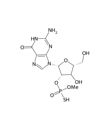 COP(=O)(S)O[C@H]1C(O)[C@@H](CO)O[C@H]1n1cnc2c(=O)[nH]c(N)nc21